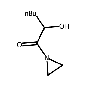 CCCC[C](O)C(=O)N1CC1